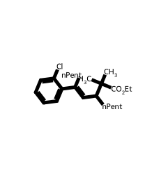 CCCCC/C(=C\C(CCCCC)C(C)(C)C(=O)OCC)c1ccccc1Cl